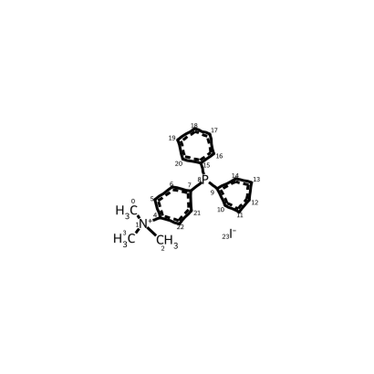 C[N+](C)(C)c1ccc(P(c2ccccc2)c2ccccc2)cc1.[I-]